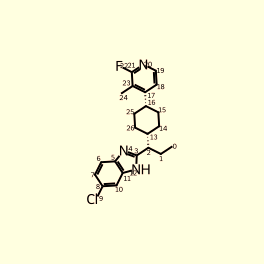 CCC(c1nc2ccc(Cl)cc2[nH]1)[C@H]1CC[C@@H](c2ccnc(F)c2C)CC1